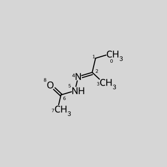 CC/C(C)=N/NC(C)=O